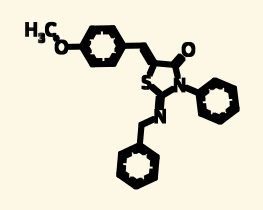 COc1ccc(/C=C2\S/C(=N\Cc3ccccc3)N(c3ccccc3)C2=O)cc1